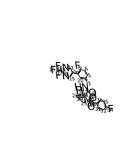 O=C(NCc1ccc(F)c(-c2cnc(C(F)(F)F)nc2)c1)[C@@H]1[C@H]2CC2CN1S(=O)(=O)c1ccc(F)cc1